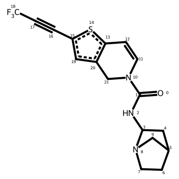 O=C(NC1CC2CCN1C2)N1C=Cc2sc(C#CC(F)(F)F)cc2C1